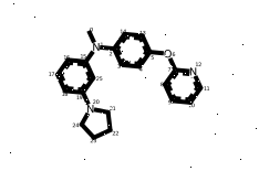 CN(c1ccc(Oc2ccccn2)cc1)c1cccc(N2CCCC2)c1